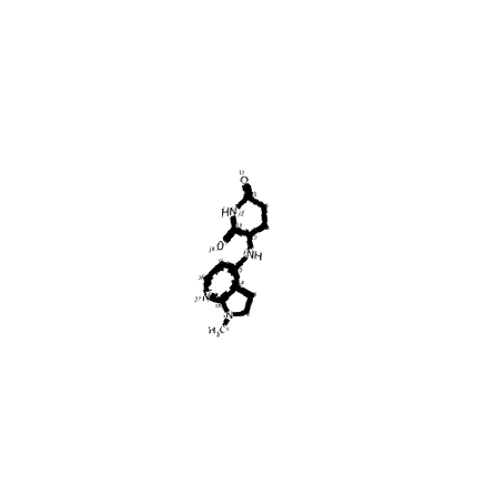 CN1CCc2c(NC3CCC(=O)NC3=O)ccnc21